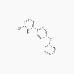 O=c1cccc(-c2ccc(Oc3ccccn3)cc2)[nH]1